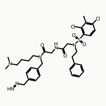 Cc1c(Cl)ccc(S(=O)(=O)N(CCc2ccccc2)CC(=O)NCC(=O)N(CCCCN(C)C)Cc2ccc(CN=N)cc2)c1Cl